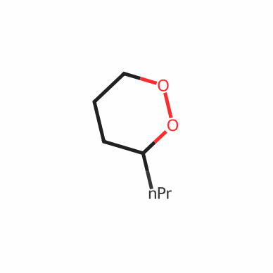 [CH2]CCC1CCCOO1